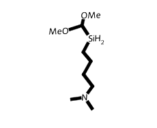 COC(OC)[SiH2]CCCCN(C)C